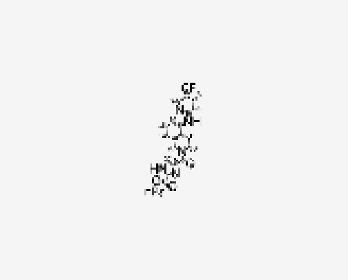 CCCS(=O)(=O)c1nc(C(=O)N2CCc3c(cccc3Nc3ccc(C(F)(F)F)cn3)C2)c[nH]1